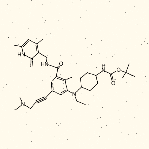 C=C1NC(C)=CC(C)=C1CNC(=O)c1cc(C#CCN(C)C)cc(N(CC)C2CCC(NC(=O)OC(C)(C)C)CC2)c1C